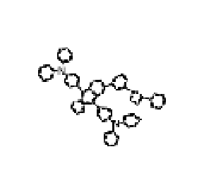 c1ccc(-c2ccc(-c3cccc(-c4ccc5c(-c6ccc(N(c7ccccc7)c7ccccc7)cc6)c6ccccc6c(-c6ccc(N(c7ccccc7)c7ccccc7)cc6)c5c4)c3)s2)cc1